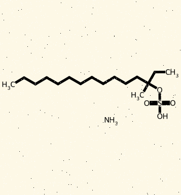 CCCCCCCCCCCCC(C)(CC)OS(=O)(=O)O.N